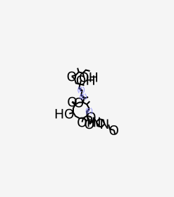 CCC(O)C(C)C1OC1CC(C)(O)/C=C/C=C(\C)C1OC(=O)CC(O)CCC(C)(O)C(OC(=O)N2CCN(CCOC)CC2)/C=C/C1C